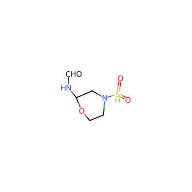 O=CNC1CN([SH](=O)=O)CCO1